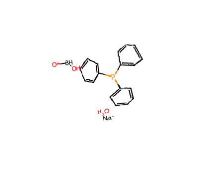 O.[Na+].[O-]BO.c1ccc(P(c2ccccc2)c2ccccc2)cc1